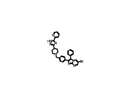 Brc1cnc2nc(-c3ccc(CN4CCC(c5n[nH]c(-c6ccccn6)n5)CC4)cc3)c(-c3ccccc3)n2c1